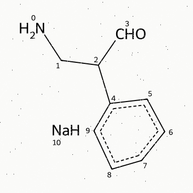 NCC(C=O)c1ccccc1.[NaH]